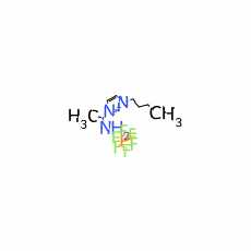 CCCCn1cc[n+](C(C)N)c1.F[P-](F)(F)(F)(F)F